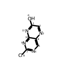 Oc1cnc2cnc(Cl)nc2n1